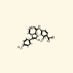 C=C(Nc1ccc(C(=O)CC)c(C)c1)c1ncc(-c2ccc(C)cc2)n1/C=C\C